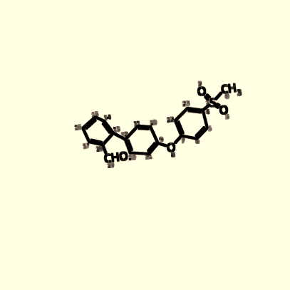 CS(=O)(=O)c1ccc(Oc2ccc(-c3ccccc3C=O)cc2)cc1